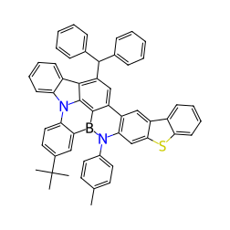 Cc1ccc(N2B3c4cc(C(C)(C)C)ccc4-n4c5ccccc5c5c(C(c6ccccc6)c6ccccc6)cc(c3c54)-c3cc4c(cc32)sc2ccccc24)cc1